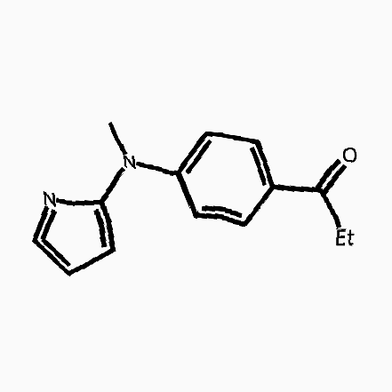 CCC(=O)c1ccc(N(C)C2=CC=C=N2)cc1